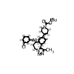 Cc1nnn2c1-c1ccc(C3=CCN(C(=O)OC(C)(C)C)CC3)cc1[C@H](Nc1cccc(Cl)c1)CC2